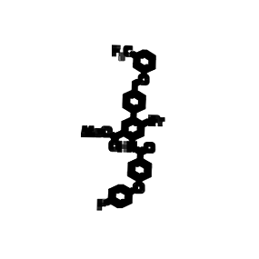 COC(=O)c1cc(-c2ccc(COc3cccc(C(F)(F)F)c3)cc2)c(C(C)C)cc1NC(=O)c1ccc(Oc2ccc(F)cc2)cc1